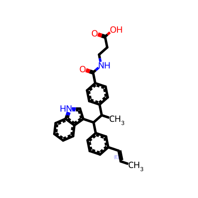 C/C=C/c1cccc(C(c2c[nH]c3ccccc23)C(C)c2ccc(C(=O)NCCC(=O)O)cc2)c1